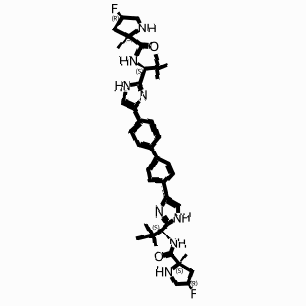 CC(C)(C)[C@H](NC(=O)[C@]1(C)C[C@@H](F)CN1)c1nc(-c2ccc(-c3ccc(-c4c[nH]c([C@@H](NC(=O)[C@]5(C)C[C@@H](F)CN5)C(C)(C)C)n4)cc3)cc2)c[nH]1